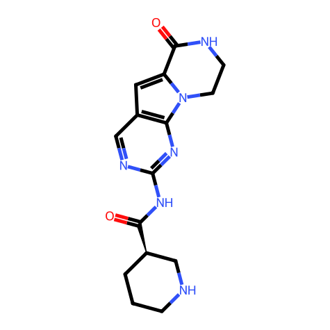 O=C1NCCn2c1cc1cnc(NC(=O)[C@@H]3CCCNC3)nc12